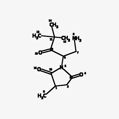 CC1CC(=O)N(C(CN)C(=O)C(C)(C)C)C1=O